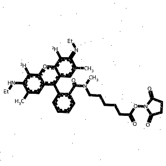 [2H]c1c2oc3c([2H])c(NCC)c(C)cc3c(-c3ccccc3C(=O)N(C)CCCCCC(=O)ON3C(=O)CCC3=O)c-2cc(C)/c1=N/CC